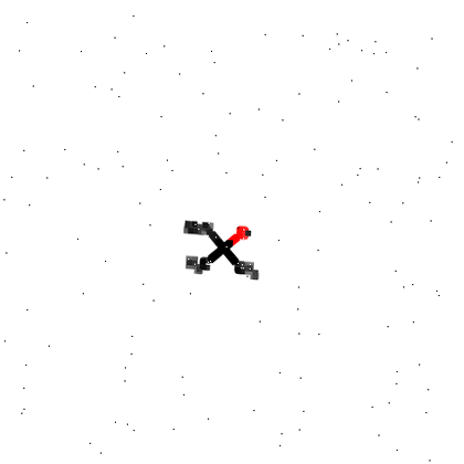 CNC(C)(C)[O]